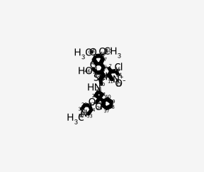 COc1ccc([C@H](Cc2c(Cl)c[n+]([O-])cc2Cl)c2cc(CNC3CC(C(=O)OC4CCN(C)CC4)(c4ccccc4)C3)sc2C(=O)O)cc1OC